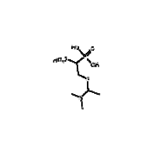 CC(SCC(P(=O)(O)O)S(=O)(=O)O)N(C)C